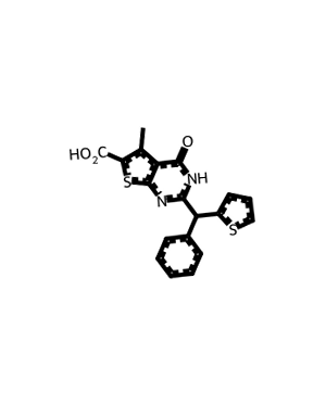 Cc1c(C(=O)O)sc2nc(C(c3ccccc3)c3cccs3)[nH]c(=O)c12